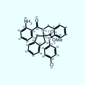 COC(=O)C1(N(Cc2ccccc2Sc2ccc(Cl)cc2)C(=O)c2ccccc2N)Cc2ccccc2C1